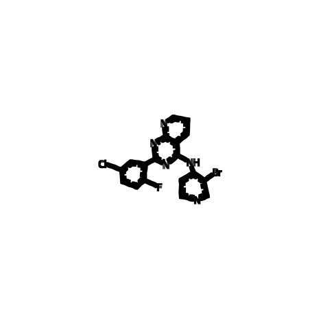 Fc1ccc(Cl)cc1-c1nc(Nc2ccncc2Br)c2cccnc2n1